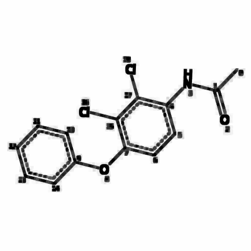 CC(=O)Nc1ccc(Oc2ccccc2)c(Cl)c1Cl